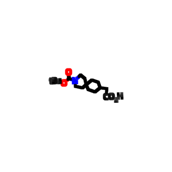 CC(C)(C)OC(=O)N1CCC2(CCC(CC(=O)O)CC2)CC1